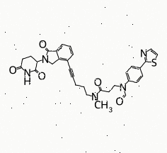 CN(CCCC#Cc1cccc2c1CN(C1CCC(=O)NC1=O)C2=O)C(=O)CCN(C=O)c1ccc(-c2nccs2)cc1